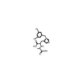 CC(NC(Cc1cncn1Cc1cc(Cl)cc(Cl)c1)C(=O)O)C(=O)O